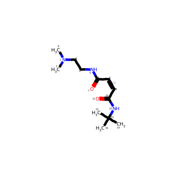 CN(C)CCNC(=O)/C=C\C(=O)NC(C)(C)C